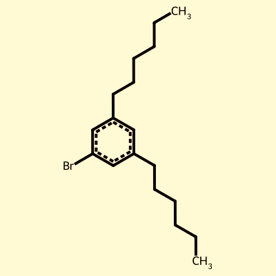 CCCCCCc1cc(Br)cc(CCCCCC)c1